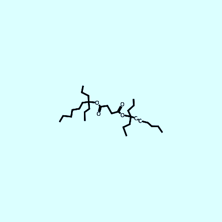 CCCCCCC(CCC)(CCC)OC(=O)CCC(=O)OC(CCC)(CCC)CCCCCC